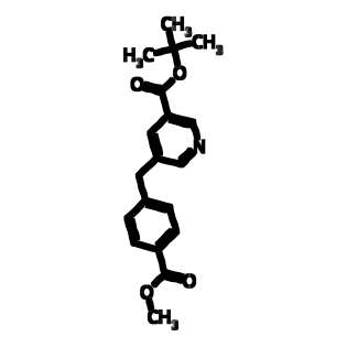 COC(=O)c1ccc(Cc2cncc(C(=O)OC(C)(C)C)c2)cc1